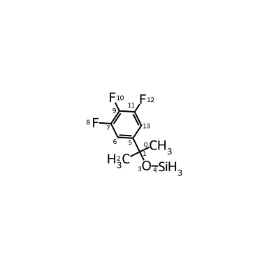 CC(C)(O[SiH3])c1cc(F)c(F)c(F)c1